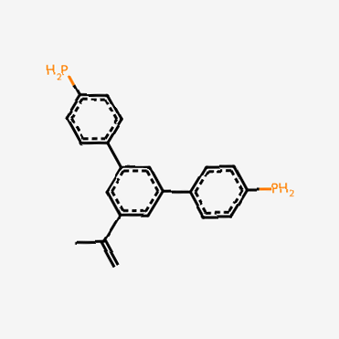 C=C(C)c1cc(-c2ccc(P)cc2)cc(-c2ccc(P)cc2)c1